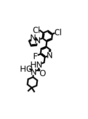 CC1(C)CCC(N(O)C(=O)NCc2ncc(-c3cc(Cl)cc(Cl)c3-n3cccn3)cc2F)CC1